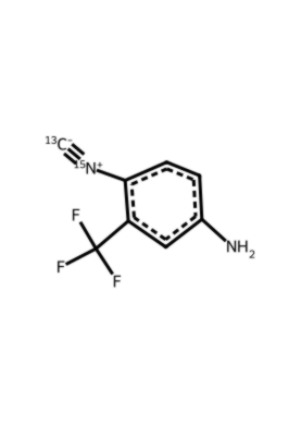 [13C-]#[15N+]c1ccc(N)cc1C(F)(F)F